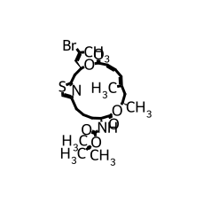 C/C(Br)=C\[C@@H]1Cc2nc(cs2)CCC[C@H](NC(=O)OC(C)(C)C)C(=O)O[C@@H](C)C/C(C)=C/C=C\C(=O)O1